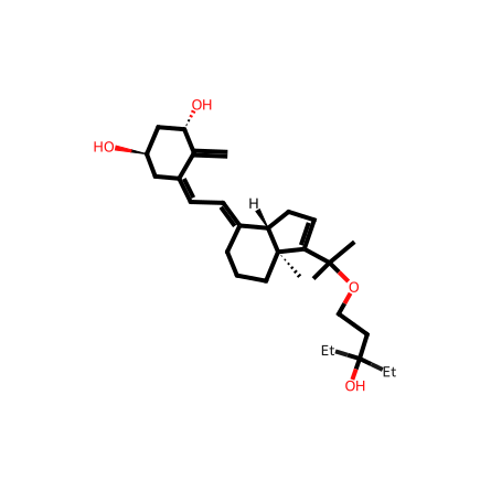 C=C1/C(=C\C=C2/CCC[C@]3(C)C(C(C)(C)OCCC(O)(CC)CC)=CC[C@@H]23)C[C@@H](O)C[C@@H]1O